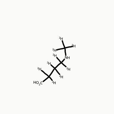 [2H]C([2H])([2H])NC([2H])([2H])C([2H])([2H])C([2H])([2H])C(=O)O